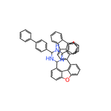 c1ccc(C2=NC(c3cccc4oc5cccc(-c6ccc7c8c(cccc68)-c6ccccc6-7)c5c34)NC(c3ccc(-c4ccccc4)cc3)N2)cc1